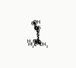 CCO[Si](CCCCCCCCOc1ccc(/C=C/C(=O)O)cc1F)(OCC)OCC